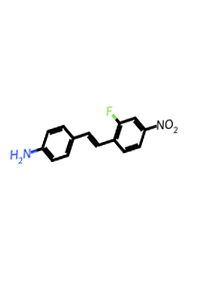 Nc1ccc(/C=C/c2ccc([N+](=O)[O-])cc2F)cc1